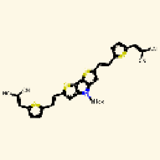 CCCCCCn1c2cc(/C=C/c3ccc(C=C(C#N)C#N)s3)sc2c2sc(/C=C/c3ccc(C=C(C#N)C#N)s3)cc21